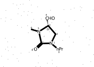 CCCN1C[C@@H](C=O)N(C)C1=O